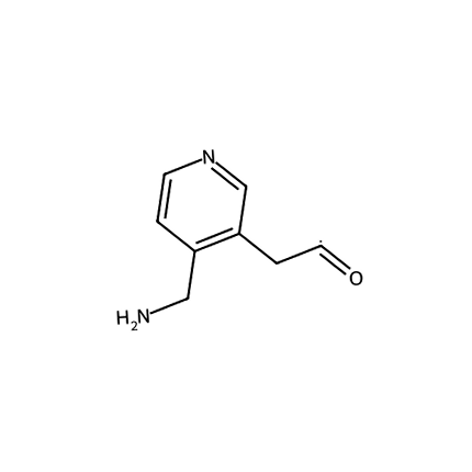 NCc1ccncc1C[C]=O